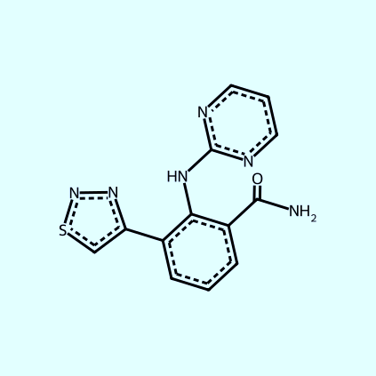 NC(=O)c1cccc(-c2csnn2)c1Nc1ncccn1